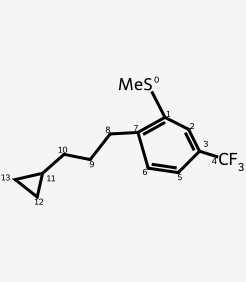 CSc1cc(C(F)(F)F)ccc1CCCC1CC1